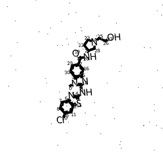 Cn1c(Nc2nc3ccc(Cl)cc3s2)nc2cc(C(=O)N[C@H]3CCN(CCO)C3)ccc21